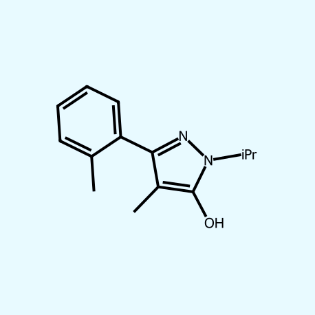 Cc1ccccc1-c1nn(C(C)C)c(O)c1C